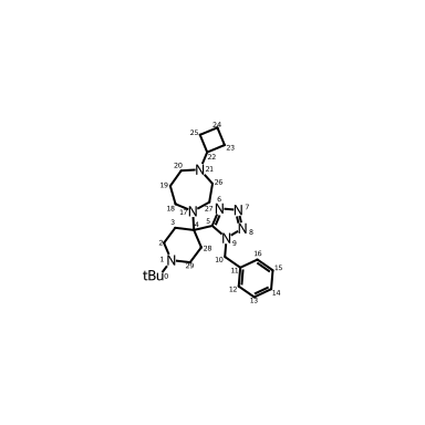 CC(C)(C)N1CCC(c2nnnn2Cc2ccccc2)(N2CCCN(C3CCC3)CC2)CC1